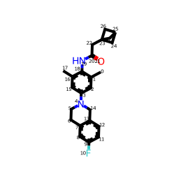 Cc1cc(N2CCc3cc(F)ccc3C2)cc(C)c1NC(=O)CC12CC(C1)C2